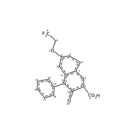 O=C(O)c1cc2ccc(OCC(F)(F)F)cc2n(-c2ccccc2)c1=O